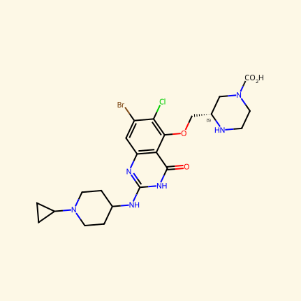 O=C(O)N1CCN[C@H](COc2c(Cl)c(Br)cc3nc(NC4CCN(C5CC5)CC4)[nH]c(=O)c23)C1